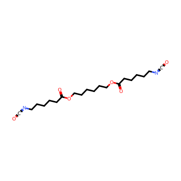 O=C=NCCCCCC(=O)OCCCCCCOC(=O)CCCCCN=C=O